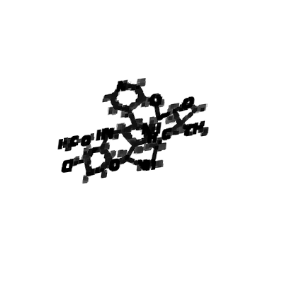 COc1c(Cl)cccc1Nc1c(-c2ccncc2OC[C@H]2OCC2(C)C)[nH]c2c1C(=O)NCC2